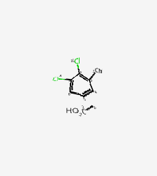 CC(=O)O.N#Cc1cccc(Cl)c1Cl